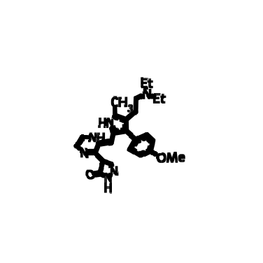 CCN(CC)CCc1c(C)[nH]c(C=C2NC=CN=C2C2C=NNC2=O)c1-c1ccc(OC)cc1